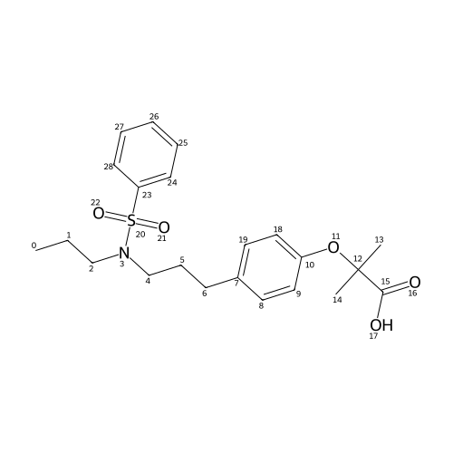 CCCN(CCCc1ccc(OC(C)(C)C(=O)O)cc1)S(=O)(=O)c1ccccc1